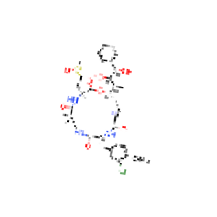 COc1ccc(C[C@H]2NC(=O)/C=C/C[C@@H]([C@H](C)[C@@H](O)[C@H](O)c3ccccc3)OC(=O)[C@H](CC[S+](C)[O-])NC(=O)C(C)(C)CNC2=O)cc1Cl